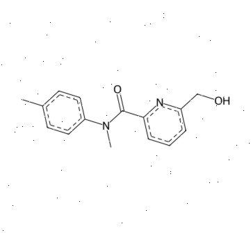 Cc1ccc(N(C)C(=O)c2cccc(CO)n2)cc1